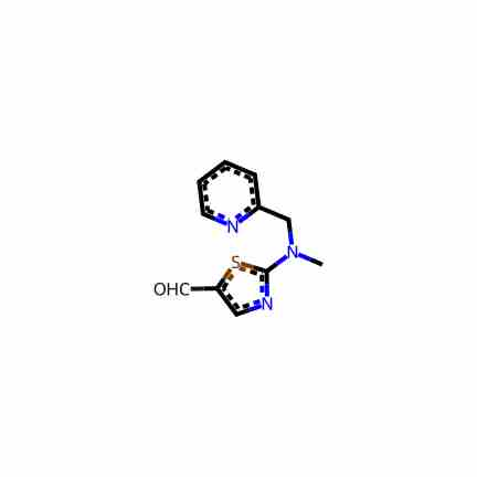 CN(Cc1ccccn1)c1ncc(C=O)s1